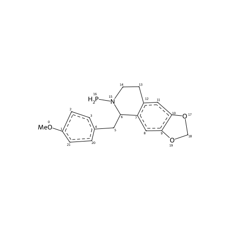 COc1ccc(CC2c3cc4c(cc3CCN2P)OCO4)cc1